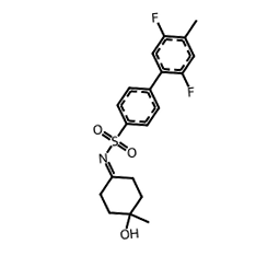 Cc1cc(F)c(-c2ccc(S(=O)(=O)N=C3CCC(C)(O)CC3)cc2)cc1F